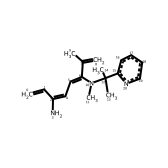 C=C/C(N)=C\C=C(\C(=C)C)N(C)C(C)(C)c1ccccn1